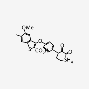 COc1cc2c(Oc3ccc(C4CC[SH4]C(=O)C4=O)cc3)c(C(=O)O)sc2cc1C